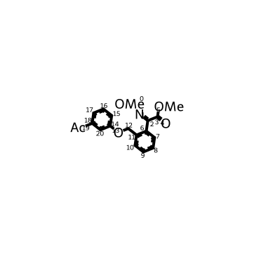 CON=C(C(=O)OC)c1ccccc1COc1cccc(C(C)=O)c1